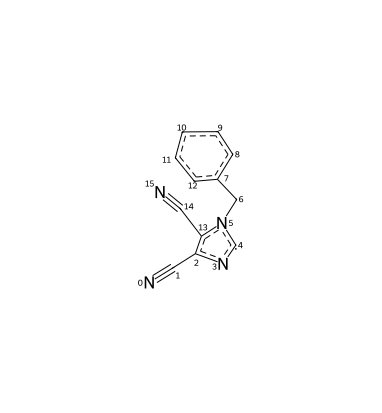 N#Cc1n[c]n(Cc2ccccc2)c1C#N